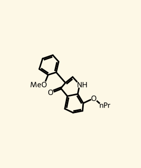 CCCOc1cccc2c(=O)c(-c3ccccc3OC)c[nH]c12